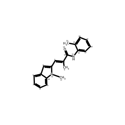 C/C(=C\c1cc2ccccc2n1C)C(=O)Nc1ccccc1C